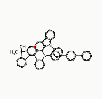 CC1(C)c2ccccc2-c2c(-c3ccccc3N(c3ccc(-c4ccc(-c5ccccc5)cc4)cc3)c3cccc4c5ccccc5n(-c5ccccc5)c34)cccc21